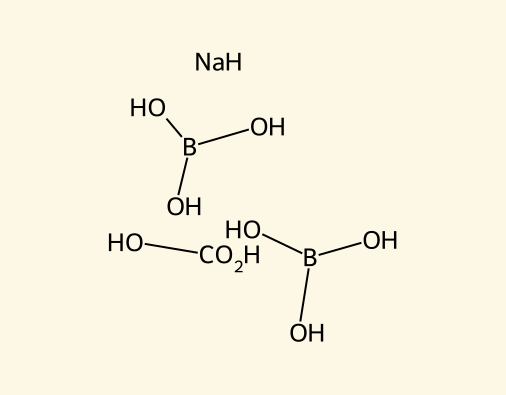 O=C(O)O.OB(O)O.OB(O)O.[NaH]